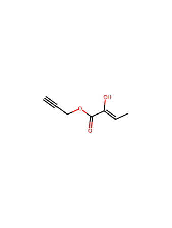 C#CCOC(=O)C(O)=CC